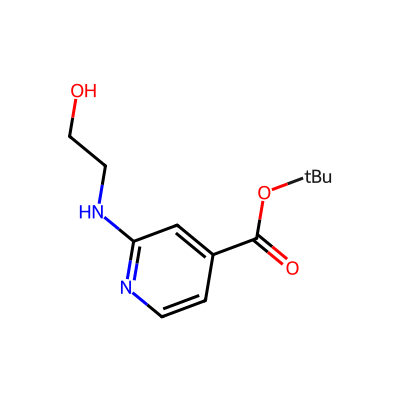 CC(C)(C)OC(=O)c1ccnc(NCCO)c1